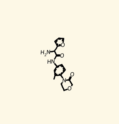 Cc1cc(NC(=O)C(N)c2ccco2)ccc1N1CCOCC1=O